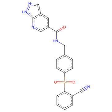 N#Cc1ccccc1S(=O)(=O)c1ccc(CNC(=O)c2cnc3[nH]ncc3c2)cc1